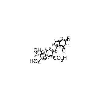 O=C(O)C1=CC2(CC[C@H]1S[C@H]1CCc3cc(F)cc(Cl)c31)O[C@@H](CO)[C@H](CO)O2